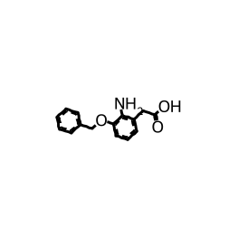 Nc1c(CC(=O)O)cccc1OCc1ccccc1